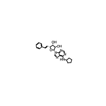 O[C@@H]1[C@@H](O)[C@@H](C=Cc2ccccc2)O[C@H]1n1cnc2c(NC3CCCC3)ncnc21